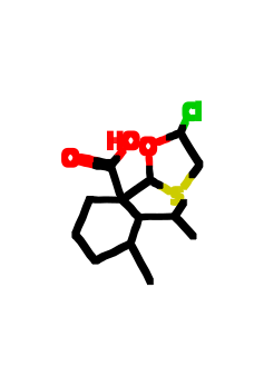 CC(C)C1C(C)CCCC1(C(=O)O)C1OC(Cl)CS1